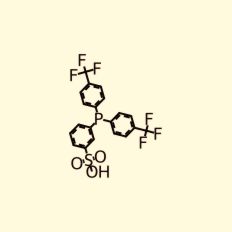 O=S(=O)(O)c1cccc(P(c2ccc(C(F)(F)F)cc2)c2ccc(C(F)(F)F)cc2)c1